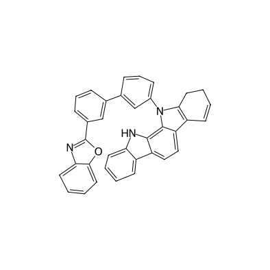 C1=Cc2c(n(-c3cccc(-c4cccc(-c5nc6ccccc6o5)c4)c3)c3c2ccc2c4ccccc4[nH]c23)CC1